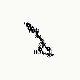 CCNC(=O)CCC/C=C\C[C@@H]1[C@@H](/C=C/[C@H](CCc2ccccc2)OC(=O)OCCCOC(=O)OCC(=O)[C@@]23CC[C@H]4[C@@H]5CCC6=CC(=O)CC[C@]6(C)C5=CC[C@@]42O3)[C@H](O)C[C@@H]1O